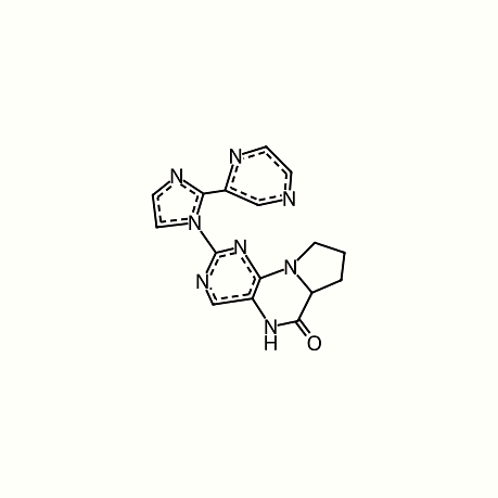 O=C1Nc2cnc(-n3ccnc3-c3cnccn3)nc2N2CCCC12